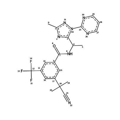 Cc1nc(C(C)NC(=O)c2cc(C(F)(F)F)cc(C(C)(C)C#N)c2)n(-c2ncccn2)n1